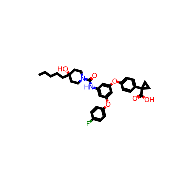 CCCCCC1(O)CCN(C(=O)Nc2cc(Oc3ccc(F)cc3)cc(Oc3ccc(C4(C(=O)O)CC4)cc3)c2)CC1